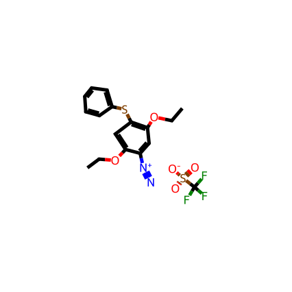 CCOc1cc(Sc2ccccc2)c(OCC)cc1[N+]#N.O=S(=O)([O-])C(F)(F)F